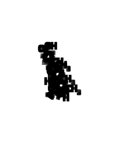 CN[C@]12CC[C@@H](C3(C)CC3)[C@@H]1[C@H]1CC[C@@H]3[C@@]4(C)CC=C(c5ccc(C(=O)O)cc5)C(C)(C)[C@@H]4CC[C@@]3(C)[C@]1(C)CC2